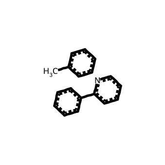 Cc1ccccc1.c1ccc(-c2ccccn2)cc1